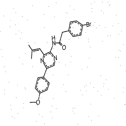 COc1ccc(-c2cnc(NC(=O)Cc3ccc(Br)cc3)c(C=C(C)C)n2)cc1